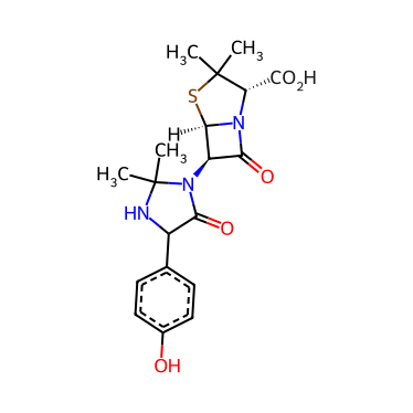 CC1(C)S[C@@H]2[C@H](N3C(=O)C(c4ccc(O)cc4)NC3(C)C)C(=O)N2[C@H]1C(=O)O